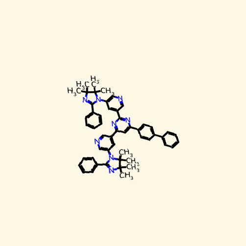 CC1(C)N=C(c2ccccc2)N(c2cncc(-c3cc(-c4ccc(-c5ccccc5)cc4)nc(-c4cncc(N5C(c6ccccc6)=NC(C)(C)C5(C)C)c4)n3)c2)C1(C)C